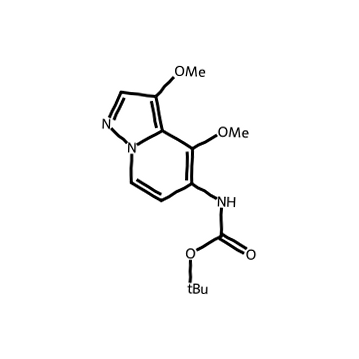 COc1cnn2ccc(NC(=O)OC(C)(C)C)c(OC)c12